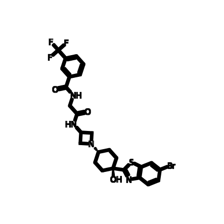 O=C(CNC(=O)c1cccc(C(F)(F)F)c1)NC1CN([C@H]2CC[C@@](O)(c3nc4ccc(Br)cc4s3)CC2)C1